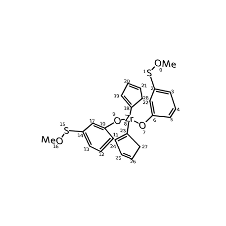 COSc1cccc([O][Zr]([O]c2cccc(SOC)c2)([C]2=CC=CC2)[C]2=CC=CC2)c1